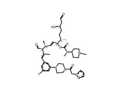 C/C(=C\c1cc(F)cc(N2CCN(C(=O)Cn3cccn3)CC2)c1)[C@@H](C=O)[C@@H](C)/C=C/[C@H](OC(=O)N(C)C1CCN(C)CC1)[C@@H](C)CC[C@@H](O)CC=O